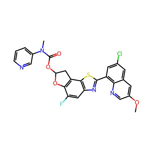 COc1cnc2c(-c3nc4cc(F)c5c(c4s3)CC(OC(=O)N(C)c3cccnc3)O5)cc(Cl)cc2c1